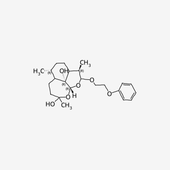 C[C@H]1C(OCCOc2ccccc2)O[C@@H]2OC(C)(O)CCC3[C@H](C)CCC1[C@]32O